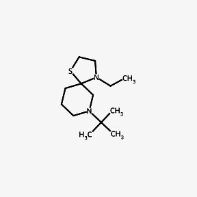 CCN1CCSC12CCCN(C(C)(C)C)C2